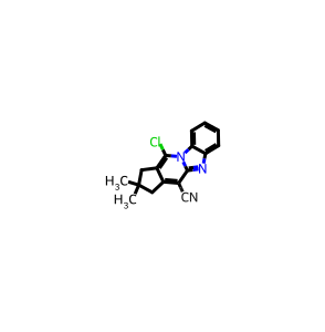 CC1(C)Cc2c(c(Cl)n3c(nc4ccccc43)c2C#N)C1